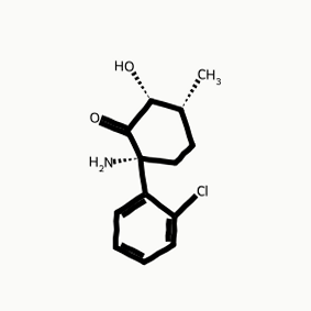 C[C@@H]1CC[C@@](N)(c2ccccc2Cl)C(=O)[C@@H]1O